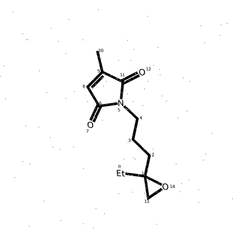 CCC1(CCCN2C(=O)C=C(C)C2=O)CO1